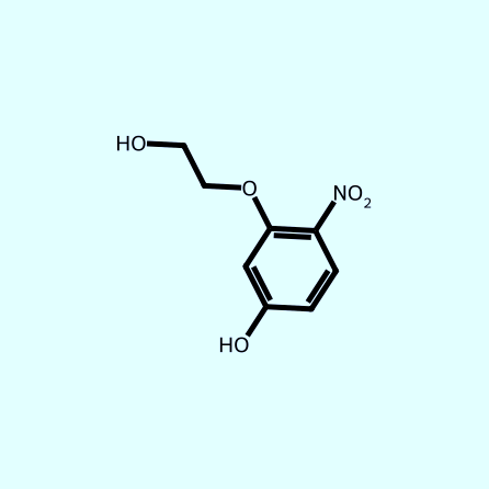 O=[N+]([O-])c1ccc(O)cc1OCCO